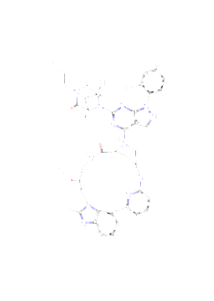 COCCN1C[C@H]2C[C@@H](C1=O)N2c1nc(N2C[C@@H]3C[C@H]2C(=O)N(C)C[C@H](OC)Cn2c(C)nc4cc(F)cc(c42)-c2cccc(n2)N3)c2cnn(-c3ccc(F)cc3F)c2n1